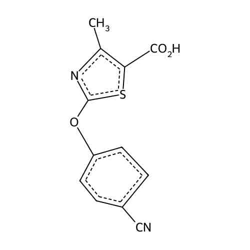 Cc1nc(Oc2ccc(C#N)cc2)sc1C(=O)O